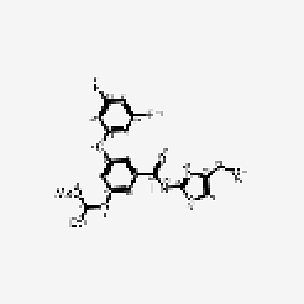 CCC(OC)Oc1cc(Oc2cc(F)cc(F)c2)cc(C(=O)Nc2nc(CO)cs2)c1